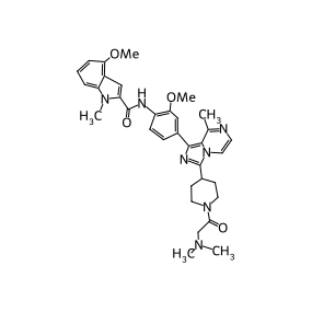 COc1cc(-c2nc(C3CCN(C(=O)CN(C)C)CC3)n3ccnc(C)c23)ccc1NC(=O)c1cc2c(OC)cccc2n1C